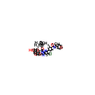 C/S(=N\C(=O)c1ccc(-c2nc3c(cc2Cl)nc(O[C@@H]2CO[C@H]4[C@@H]2OC[C@H]4O)n3COCC[Si](C)(C)C)cc1)C1CCOCC1